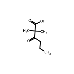 CCCC(=O)C(C)(C)C(=O)O